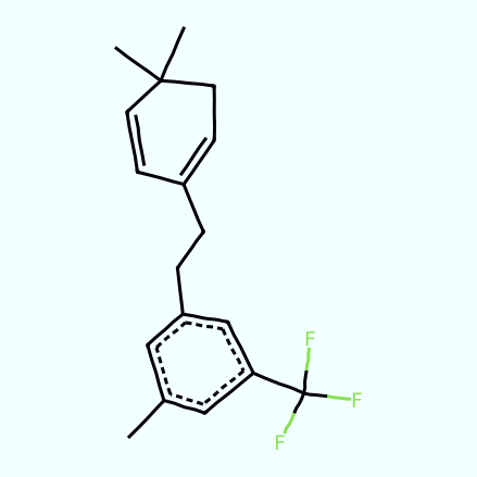 Cc1cc(CCC2=CCC(C)(C)C=C2)cc(C(F)(F)F)c1